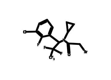 O=C(CBr)N(C1CC1)C(c1cccc(Cl)c1F)C(F)(F)C(F)(F)F